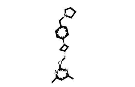 Cc1cc(C)nc(OC[C@H]2C[C@H](c3ccc(CN4CCCC4)cc3)C2)n1